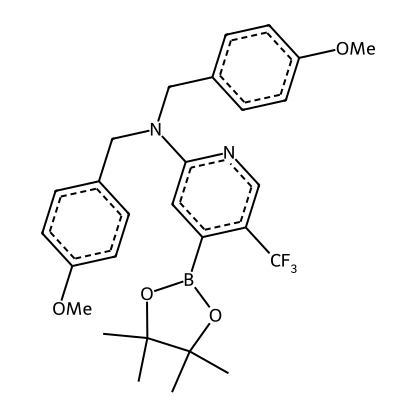 COc1ccc(CN(Cc2ccc(OC)cc2)c2cc(B3OC(C)(C)C(C)(C)O3)c(C(F)(F)F)cn2)cc1